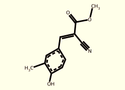 COC(=O)/C(C#N)=C/c1ccc(O)c(C)c1